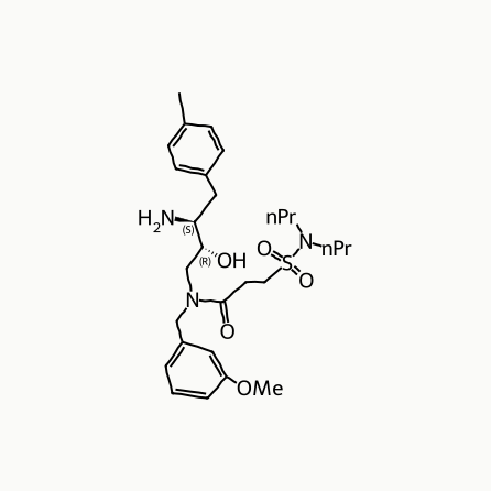 CCCN(CCC)S(=O)(=O)CCC(=O)N(Cc1cccc(OC)c1)C[C@@H](O)[C@@H](N)Cc1ccc(C)cc1